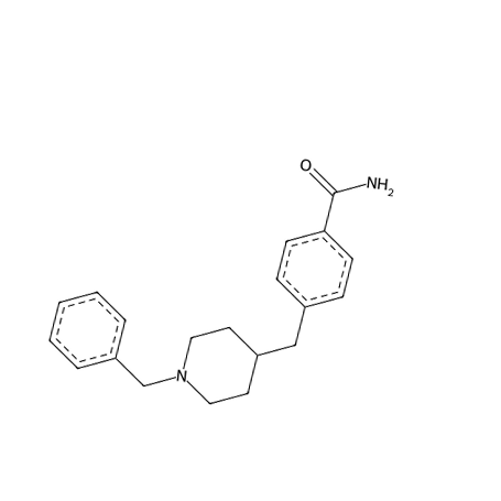 NC(=O)c1ccc(CC2CCN(Cc3ccccc3)CC2)cc1